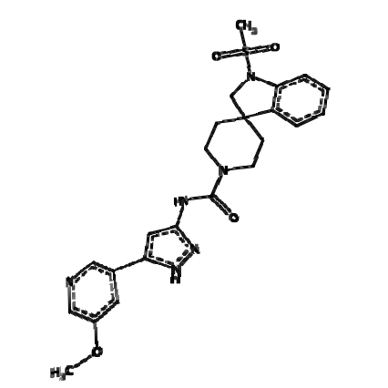 COc1cncc(-c2cc(NC(=O)N3CCC4(CC3)CN(S(C)(=O)=O)c3ccccc34)n[nH]2)c1